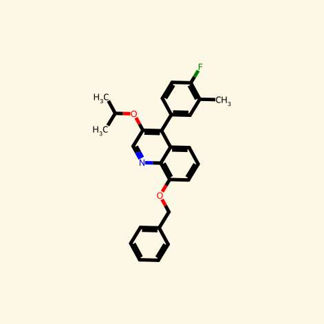 Cc1cc(-c2c(OC(C)C)cnc3c(OCc4ccccc4)cccc23)ccc1F